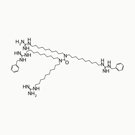 N=C(N)NCCCCCCCCCCN(CCCCCCCCCCNC(=N)NCc1ccccc1)C(=O)N(CCCCCCCCCCNC(=N)N)CCCCCCCCCCNC(=N)NCc1ccccc1